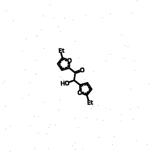 CCc1ccc(C(=O)C(O)c2ccc(CC)o2)o1